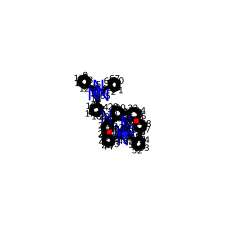 c1ccc(-c2nc(-c3ccccc3)nc(-c3cccc(-n4c5ccccc5c5c4ccc4c6ccccc6n(-c6nc(-c7ccccc7)nc(-c7ccccc7-c7ccccc7)n6)c45)c3)n2)cc1